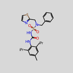 Cc1cc(C(C)C)c(NC(=O)NS(=O)(=O)N(Cc2ccccc2)Cc2nccs2)c(C(C)C)c1